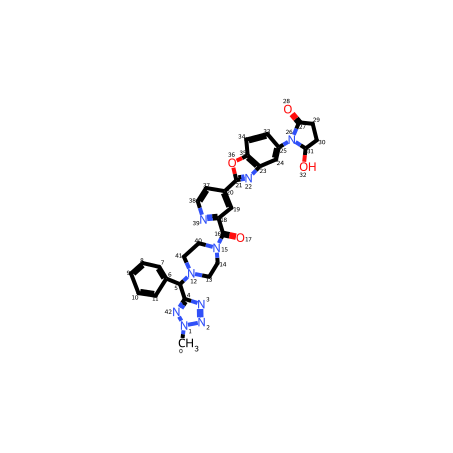 Cn1nnc(C(c2ccccc2)N2CCN(C(=O)c3cc(-c4nc5cc(N6C(=O)CCC6O)ccc5o4)ccn3)CC2)n1